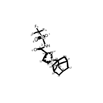 O=C(NS(=O)(=O)C(F)(F)F)c1ccn(C23CC4CC(CC(C4)C2)C3)n1